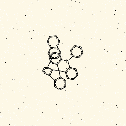 c1ccc(N2c3ccccc3C3(c4ccccc4-c4cccc(-c5ccc6ccccc6c5)c43)c3ccccc32)cc1